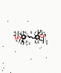 CC(C)(C)c1cc(C/C=C/Cc2cc(C(C)(C)C)c(O)c(C(C)(C)C)c2)cc(C(C)(C)C)c1O